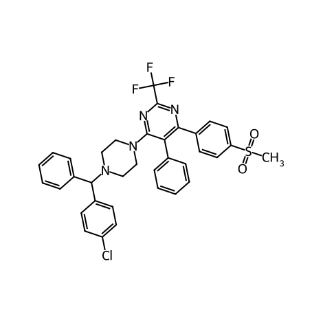 CS(=O)(=O)c1ccc(-c2nc(C(F)(F)F)nc(N3CCN(C(c4ccccc4)c4ccc(Cl)cc4)CC3)c2-c2ccccc2)cc1